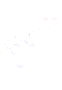 CC(CO)(CO)COc1ccc2c(c1)ncn2-c1ccc2ccc(O)c(N3CCC(N)CC3)c2n1